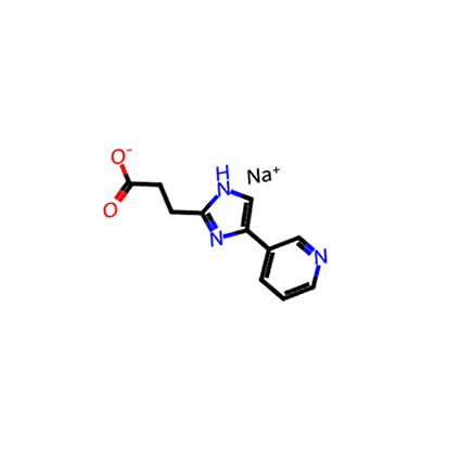 O=C([O-])CCc1nc(-c2cccnc2)c[nH]1.[Na+]